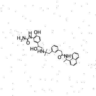 CC(NC(=O)Cc1cccc(CC(C)(C)NCC(O)c2ccc(O)c(NC(N)=O)c2)c1)c1cccc2ccccc12